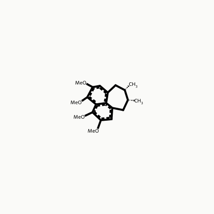 COc1cc2c3c(cc(OC)c(OC)c3c1OC)C[C@H](C)[C@H](C)C2